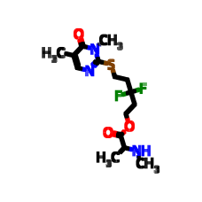 CNC(C)C(=O)OCCC(F)(F)CCSc1ncc(C)c(=O)n1C